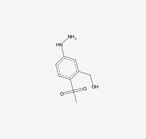 CS(=O)(=O)c1ccc(NN)cc1CO